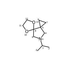 CC(C)N1CC2(CC2)C2(C1)OCCO2